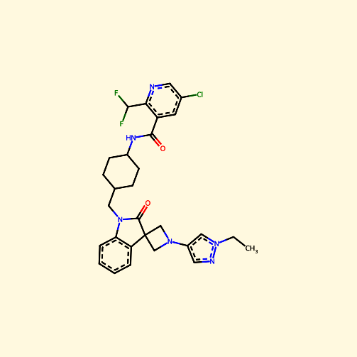 CCn1cc(N2CC3(C2)C(=O)N(CC2CCC(NC(=O)c4cc(Cl)cnc4C(F)F)CC2)c2ccccc23)cn1